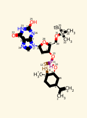 C=C(C)[C@H]1CC[C@@](C)(S)[C@H](O[P@@H](=S)O[C@H]2C[C@H](n3cnc4c(=O)[nH]c(O)nc43)O[C@@H]2CO[Si](C)(C)C(C)(C)C)C1